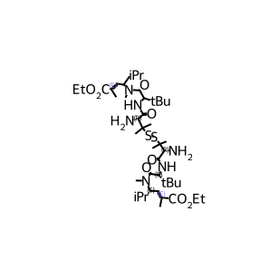 CCOC(=O)/C(C)=C/C(C(C)C)N(C)C(=O)C(NC(=O)[C@@H](N)C(C)(C)SSC(C)(C)[C@H](N)C(=O)N[C@H](C(=O)N(C)[C@H](/C=C(\C)C(=O)OCC)C(C)C)C(C)(C)C)C(C)(C)C